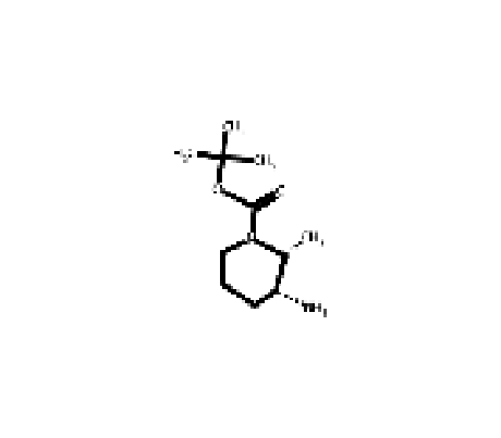 C[C@@H]1[C@H](N)CCCN1C(=O)OC(C)(C)C